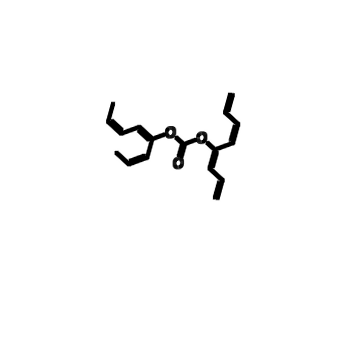 C=C/C=C\C(=C/C=C)OC(=O)OC(/C=C\C)=C/C=C\C